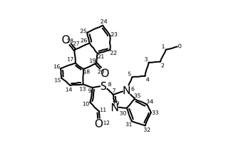 CCCCCCn1c(SC(=CC=O)c2cccc3c2C(=O)c2ccccc2C3=O)nc2ccccc21